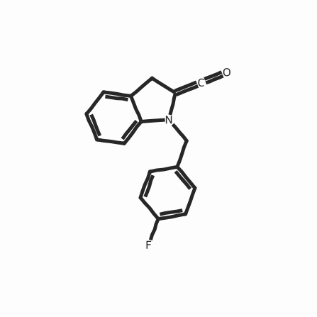 O=C=C1Cc2ccccc2N1Cc1ccc(F)cc1